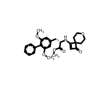 COC(=O)[C@H](Cc1cc(OC)c(-c2ccccc2)c(OC)c1)NC1=CC(=O)C12CCOCC2